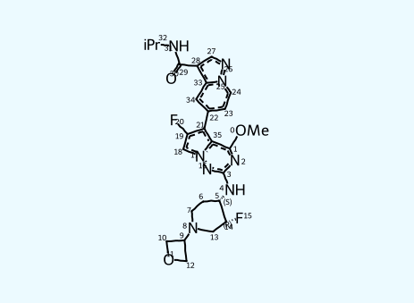 COc1nc(N[C@H]2CCN(C3COC3)C[C@H]2F)nn2cc(F)c(-c3ccn4ncc(C(=O)NC(C)C)c4c3)c12